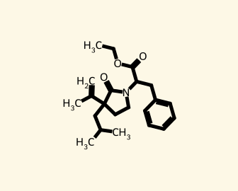 C=C(C)C1(CC(C)C)CCN(C(Cc2ccccc2)C(=O)OCC)C1=O